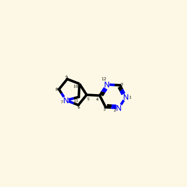 c1nncc(C2CN3CCC2C3)n1